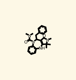 CN(C)C(=O)N1c2ccccc2NC2=C(C(=O)N(C)C2(C)C)C1Cc1ccccc1